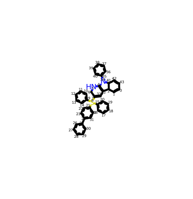 C1=CC2C3=C(NCC(S(c4ccccc4)(c4ccccc4)c4ccc(-c5ccccc5)cc4)=C3)N(c3ccccc3)C2C=C1